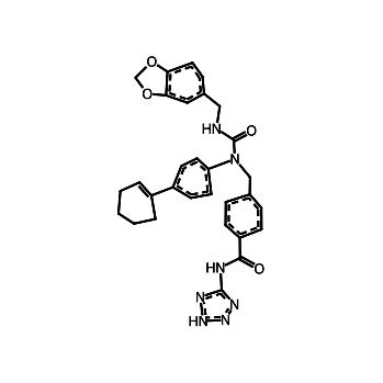 O=C(Nc1nn[nH]n1)c1ccc(CN(C(=O)NCc2ccc3c(c2)OCO3)c2ccc(C3=CCCCC3)cc2)cc1